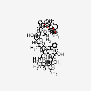 C[C@H](NC(=O)[C@H](Cc1c[nH]c2ccccc12)NC(=O)[C@H](CC(N)=O)NC(=O)[C@H](CCC(=O)O)NC(=O)[C@H](C)NC(=O)[C@H](CC(N)=O)NC(=O)[C@@H](N)[C@@H](C)O)C(=O)N[C@@H](CC(=O)O)C(=O)N[C@@H](CC(N)=O)C(=O)N[C@@H](CCC(=O)O)C(=O)N1CCC[C@H]1C(=O)N[C@@H](CC(N)=O)C(=O)N1C(=O)CCCC(=O)[C@]1(CC(N)=O)C(N)=O